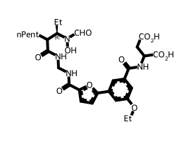 CCCCCC(C(=O)NCNC(=O)c1ccc(-c2cc(OCC)cc(C(=O)NC(CC(=O)O)C(=O)O)c2)o1)[C@@H](CC)N(O)C=O